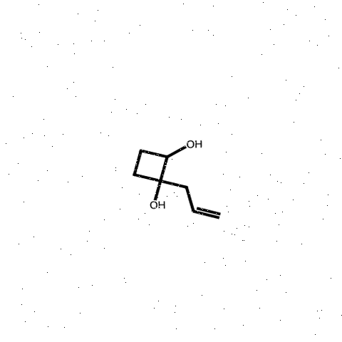 C=CCC1(O)CCC1O